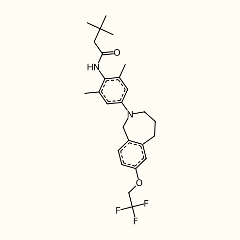 Cc1cc(N2CCCc3cc(OCC(F)(F)F)ccc3C2)cc(C)c1NC(=O)CC(C)(C)C